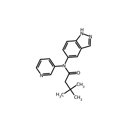 CC(C)(C)CC(=O)N(c1cccnc1)c1ccc2[nH]ncc2c1